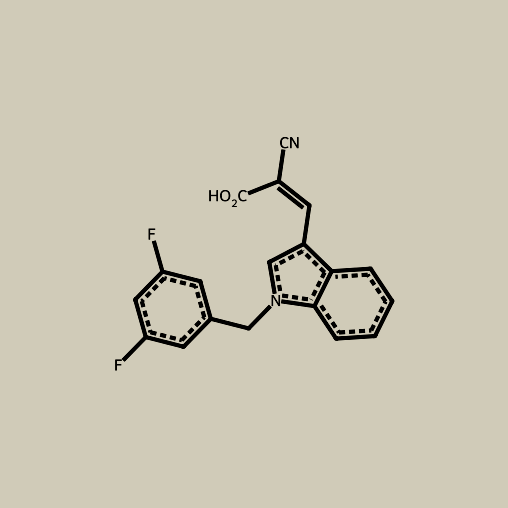 N#CC(=Cc1cn(Cc2cc(F)cc(F)c2)c2ccccc12)C(=O)O